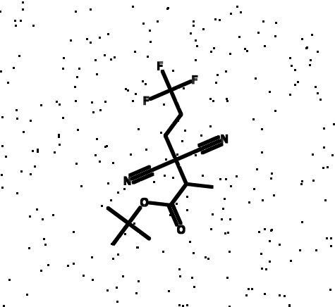 CC(C(=O)OC(C)(C)C)C(C#N)(C#N)CCC(F)(F)F